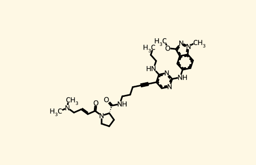 CCCNc1nc(Nc2ccc3c(c2)c(OC)nn3C)ncc1C#CCCCNC(=O)[C@@H]1CCCN1C(=O)/C=C/CN(C)C